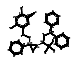 Cc1nn(C)c(=O)cc1OC[C@@]1(c2ccccc2)C[C@H]1C(O[SiH](c1ccccc1)c1ccccc1)C(C)(C)C